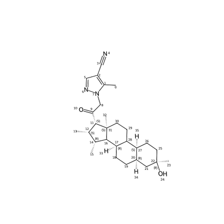 Cc1c(C#N)cnn1CC(=O)[C@H]1[C@@H](C)[C@@H](C)C2[C@@H]3CC[C@@H]4C[C@](C)(O)CC[C@@H]4C3CC[C@@]21C